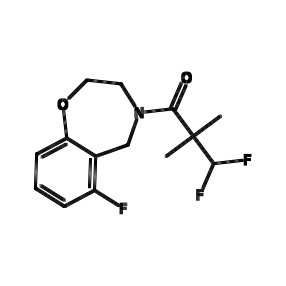 CC(C)(C(=O)N1CCOc2cccc(F)c2C1)C(F)F